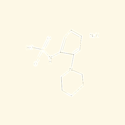 O=S(=O)(O)Nc1ccccc1N1CCCCC1.[NaH]